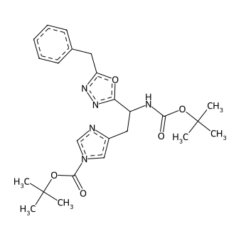 CC(C)(C)OC(=O)NC(Cc1cn(C(=O)OC(C)(C)C)cn1)c1nnc(Cc2ccccc2)o1